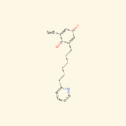 COC1=CC(=O)C=C(CCCCCCc2ccccn2)C1=O